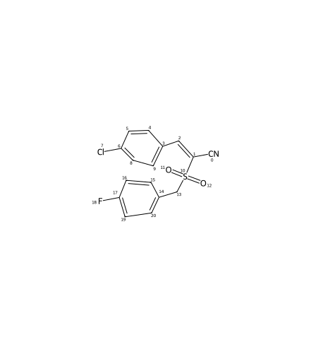 N#CC(=Cc1ccc(Cl)cc1)S(=O)(=O)Cc1ccc(F)cc1